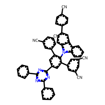 N#Cc1ccc(-c2ccc3c(c2)c2ccccc2n3-c2c(-c3cc(C#N)cc(C#N)c3)cc(-c3nc(-c4ccccc4)nc(-c4ccccc4)n3)cc2-c2cc(C#N)cc(C#N)c2)cc1